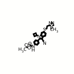 CC(C)OC(=O)Nc1ccc(-c2c(C#N)c3ccc(SCCc4nncn4C)cc3n2C2CCC2)cc1